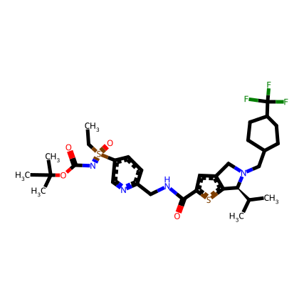 CCS(=O)(=NC(=O)OC(C)(C)C)c1ccc(CNC(=O)c2cc3c(s2)[C@H](C(C)C)N(CC2CCC(C(F)(F)F)CC2)C3)nc1